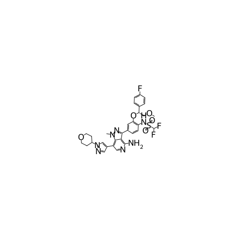 COC[C@@H](Oc1cc(-c2nn(C)c3c(-c4cnn(C5CCOCC5)c4)cnc(N)c23)ccc1NS(=O)(=O)C(F)F)c1ccc(F)cc1